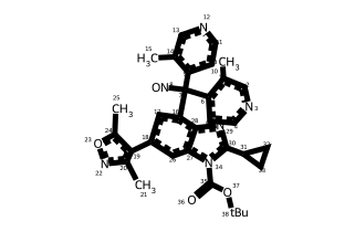 Cc1cnccc1C(N=O)(c1ccncc1C)c1cc(-c2c(C)noc2C)cc2c1nc(C1CC1)n2C(=O)OC(C)(C)C